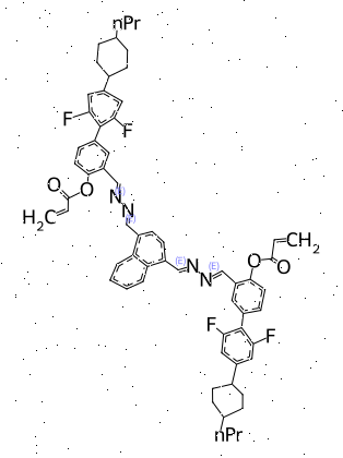 C=CC(=O)Oc1ccc(-c2c(F)cc(C3CCC(CCC)CC3)cc2F)cc1/C=N/N=C/c1ccc(/C=N/N=C/c2cc(-c3c(F)cc(C4CCC(CCC)CC4)cc3F)ccc2OC(=O)C=C)c2ccccc12